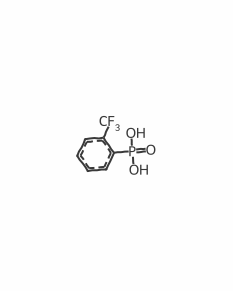 O=P(O)(O)c1ccccc1C(F)(F)F